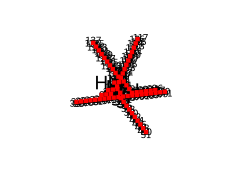 [CH2]Cc1ccc(-c2nc(Nc3cc(SCCCCCCCCCCCCCCCCCC)c(SCCCCCCCCCCCCCCCCCC)c(SCCCCCCCCCCCCCCCCCC)c3)nc(Nc3cc(SCCCCCCCCCCCCCCCCCC)c(SCCCCCCCCCCCCCCCCCC)c(SCCCCCCCCCCCCCCCCCC)c3)n2)cc1